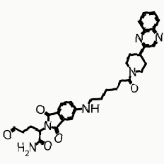 NC(=O)C(CCC=O)N1C(=O)c2ccc(NCCCCCC(=O)N3CCC(c4cnc5ccccc5n4)CC3)cc2C1=O